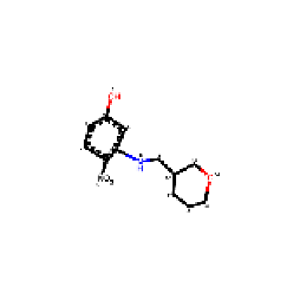 O=[N+]([O-])c1ccc(O)cc1NCC1CCCOC1